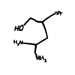 CCCC(CO)CC(N)N